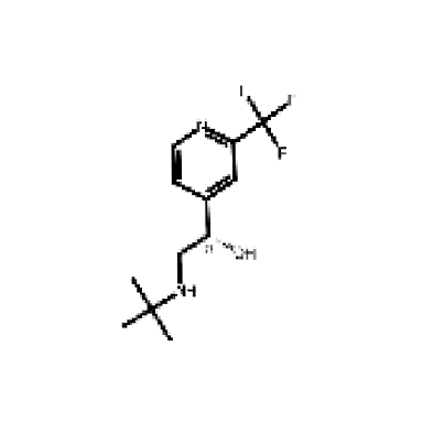 CC(C)(C)NC[C@@H](O)c1ccnc(C(F)(F)F)c1